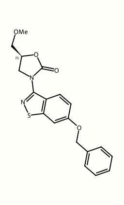 COC[C@@H]1CN(c2nsc3cc(OCc4ccccc4)ccc23)C(=O)O1